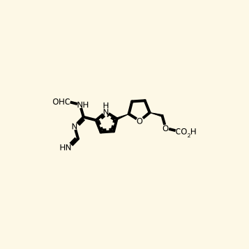 N=C/N=C(/NC=O)c1ccc([C@H]2CC[C@@H](COC(=O)O)O2)[nH]1